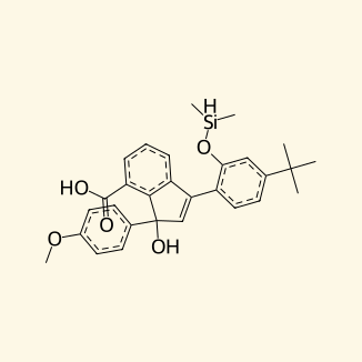 COc1ccc(C2(O)C=C(c3ccc(C(C)(C)C)cc3O[SiH](C)C)c3cccc(C(=O)O)c32)cc1